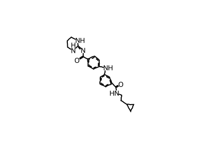 O=C(N=C1NCCCN1)c1ccc(Nc2cccc(C(=O)NCCC3CC3)c2)cc1